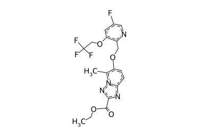 CCOC(=O)c1nc2ccc(OCc3ncc(F)cc3OCC(F)(F)F)c(C)n2n1